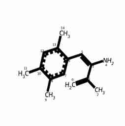 C=C(C)/C(N)=C\c1cc(C)c(C)cc1C